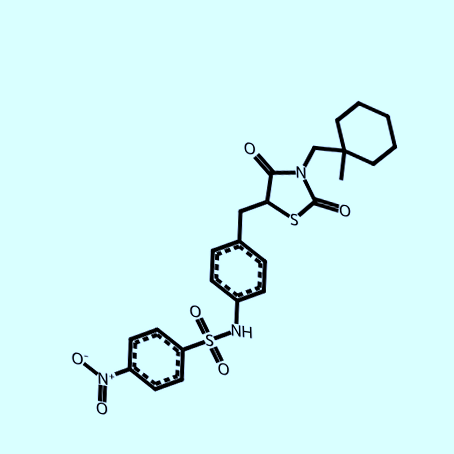 CC1(CN2C(=O)SC(Cc3ccc(NS(=O)(=O)c4ccc([N+](=O)[O-])cc4)cc3)C2=O)CCCCC1